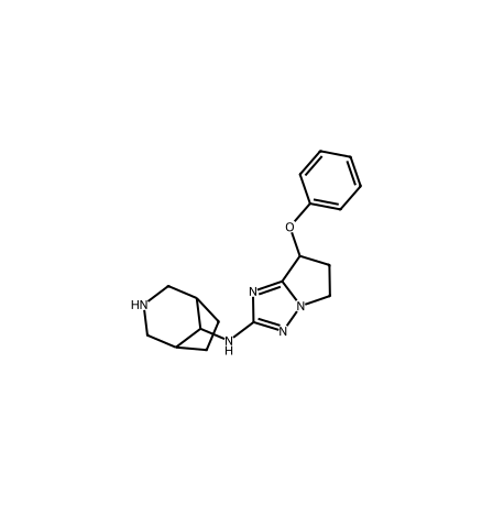 c1ccc(OC2CCn3nc(NC4C5CCC4CNC5)nc32)cc1